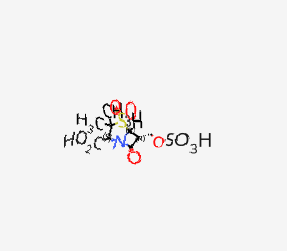 CC1(C)[C@H](C(=O)O)N2C(=O)[C@@H](COS(=O)(=O)O)[C@H]2S1(=O)=O